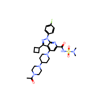 CC(=O)N1CCN(C2CCN(c3cc(C(=O)NS(=O)(=O)N(C)C)nc4c3c(C3CCC3)nn4-c3ccc(F)cc3)CC2)CC1